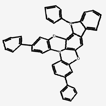 c1ccc(-c2ccc3c(c2)Oc2cc4c5ccccc5n(-c5ccccc5)c4c4c2N3c2ccc(-c3ccccc3)cc2O4)cc1